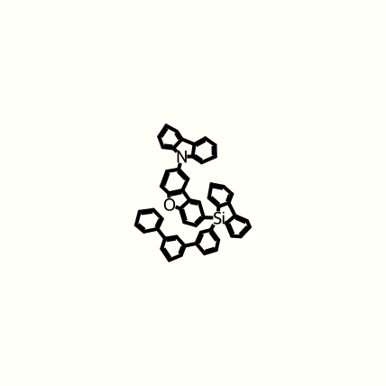 c1ccc(-c2cccc(-c3cccc([Si]4(c5ccc6oc7ccc(-n8c9ccccc9c9ccccc98)cc7c6c5)c5ccccc5-c5ccccc54)c3)c2)cc1